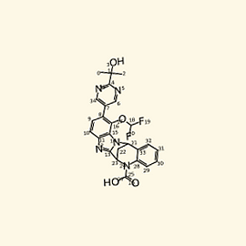 CC(C)(O)c1ncc(-c2ccc3nc4n(c3c2OC(F)F)C2CC4N(C(=O)O)c3ccccc32)cn1